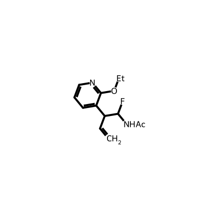 C=CC(c1cccnc1OCC)C(F)NC(C)=O